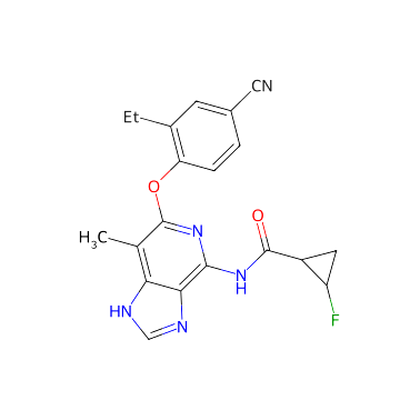 CCc1cc(C#N)ccc1Oc1nc(NC(=O)C2CC2F)c2nc[nH]c2c1C